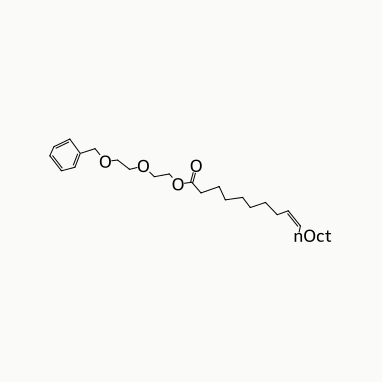 CCCCCCCC/C=C\CCCCCCCC(=O)OCCOCCOCc1ccccc1